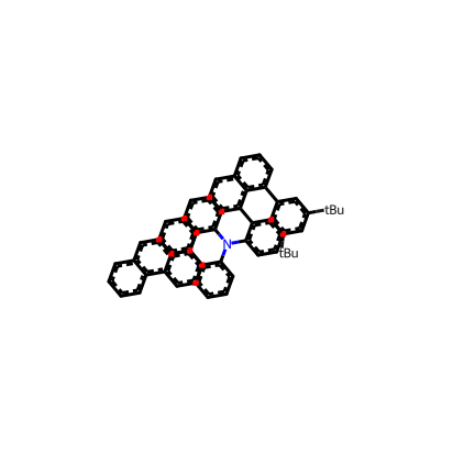 CC(C)(C)c1cc(-c2cccc3cccc(-c4ccccc4N(c4ccccc4-c4ccccc4)c4ccccc4-c4cccc5c4ccc4ccccc45)c23)cc(C(C)(C)C)c1